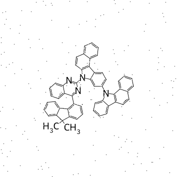 CC1(C)c2ccccc2-c2c(-c3nc(-n4c5cc(-n6c7ccccc7c7ccc8ccccc8c76)ccc5c5c6ccccc6ccc54)nc4ccccc34)cccc21